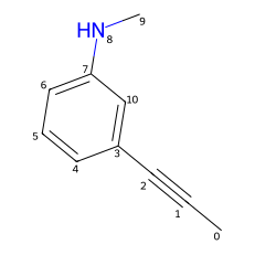 CC#Cc1cccc(NC)c1